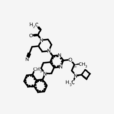 C=CC(=O)N1CCN(c2nc(O[C@@H](C)CN(C)C3CCC3)nc3c2CCN(c2cccc4cccc(C)c24)C3)CC1CC#N